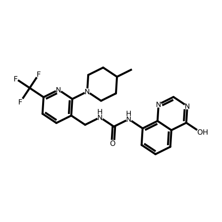 CC1CCN(c2nc(C(F)(F)F)ccc2CNC(=O)Nc2cccc3c(O)ncnc23)CC1